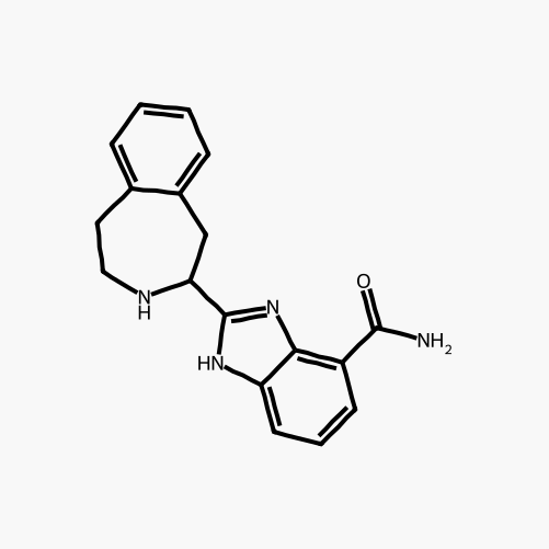 NC(=O)c1cccc2[nH]c(C3Cc4ccccc4CCN3)nc12